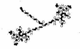 C#CCOCCOCCOCCOCCC(=O)N(CCOCCCNC(=O)CO[C@@H]([C@@H]1OC(C(=O)OC)=C[C@H](N=C(NC(=O)OC(C)(C)C)NC(=O)OC(C)(C)C)[C@H]1NC(C)=O)[C@H]1COC(=O)O1)CCOCCCNC(=O)CO[C@@H]([C@@H]1OC(C(=O)OC)=C[C@H](N=C(NC(=O)OC(C)(C)C)NC(=O)OC(C)(C)C)[C@H]1NC(C)=O)[C@H]1COC(=O)O1